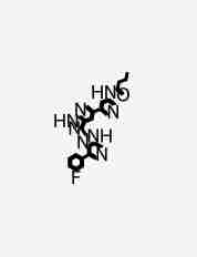 CCCC(=O)Nc1cncc(-c2cnc3[nH]nc(-c4nc5c(-c6cccc(F)c6)cncc5[nH]4)c3c2)c1